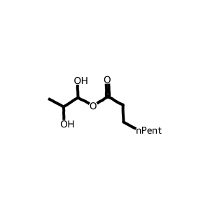 CCCCCCCC(=O)OC(O)C(C)O